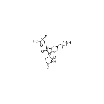 Cn1c(=O)n(C2CCC(=O)NC2=O)c2ccc(CC3(C)CNC3)cc21.O=C(O)C(F)(F)F